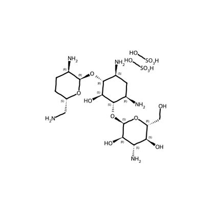 NC[C@@H]1CC[C@@H](N)[C@@H](O[C@H]2[C@H](O)[C@@H](O[C@H]3O[C@H](CO)[C@@H](O)[C@H](N)[C@H]3O)[C@H](N)C[C@@H]2N)O1.O=S(=O)(O)O.O=S(=O)(O)O